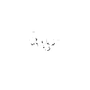 CCN(CC)O[Si](C)(C)ON(CC)CC